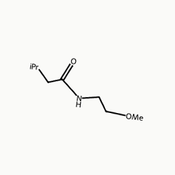 COCCNC(=O)CC(C)C